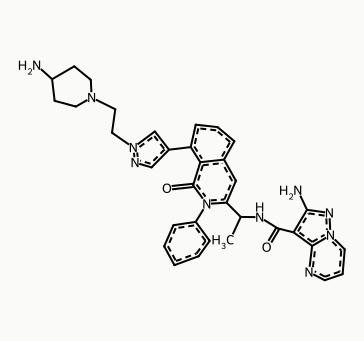 CC(NC(=O)c1c(N)nn2cccnc12)c1cc2cccc(-c3cnn(CCN4CCC(N)CC4)c3)c2c(=O)n1-c1ccccc1